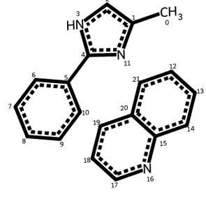 Cc1c[nH]c(-c2ccccc2)n1.c1ccc2ncccc2c1